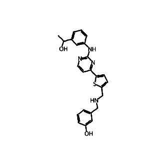 CC(O)c1cccc(Nc2nccc(-c3ccc(CNCc4cccc(O)c4)s3)n2)c1